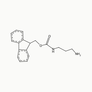 NCCCNC(=O)OCC1c2ccccc2-c2ccccc21